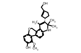 COc1c(O)ccc2c1-c1ccc3c(c1CO2)C(C)=C([C@@H]1C=C(CO)CC1)C(C)(C)N3